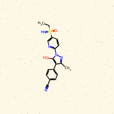 CCS(=N)(=O)c1ccc(-n2nc(C)c(-c3ccc(C#N)cc3)c2O)nc1